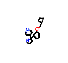 C1=CC(c2ccncc2)(c2cccc(OCC3CCCC3)c2)N=C1